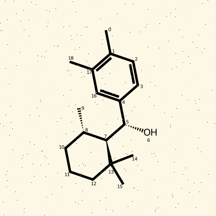 Cc1ccc([C@H](O)[C@@H]2[C@@H](C)CCCC2(C)C)cc1C